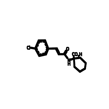 O=C(C=Cc1ccc(Cl)cc1)NC1(C(=O)O)CCCCC1